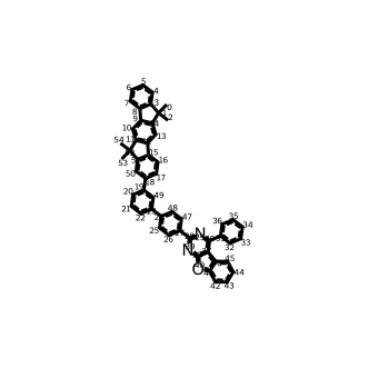 CC1(C)c2ccccc2-c2cc3c(cc21)-c1ccc(-c2cccc(-c4ccc(-c5nc(-c6ccccc6)c6c(n5)oc5ccccc56)cc4)c2)cc1C3(C)C